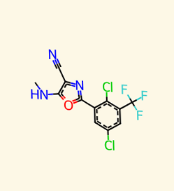 CNc1oc(-c2cc(Cl)cc(C(F)(F)F)c2Cl)nc1C#N